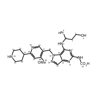 CCCC(CCO)Nc1nc(NC(=O)O)nc2cnn(Cc3cnc(C4CCNCC4)cc3OC)c12